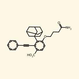 NC(=O)CCCOc1ccc(C(=O)O)c(C#Cc2ccccc2)c1C12CC3CC(CC(C3)C1)C2